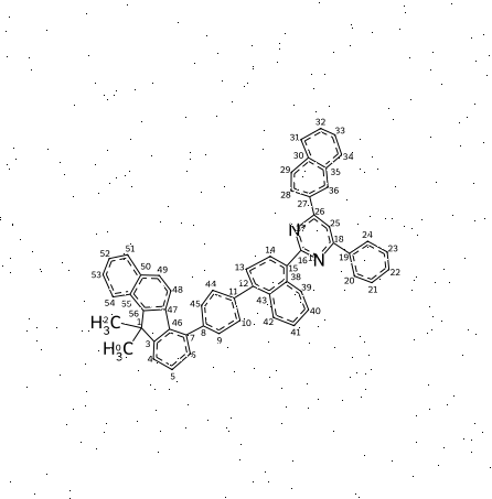 CC1(C)c2cccc(-c3ccc(-c4ccc(-c5nc(-c6ccccc6)cc(-c6ccc7ccccc7c6)n5)c5ccccc45)cc3)c2-c2ccc3ccccc3c21